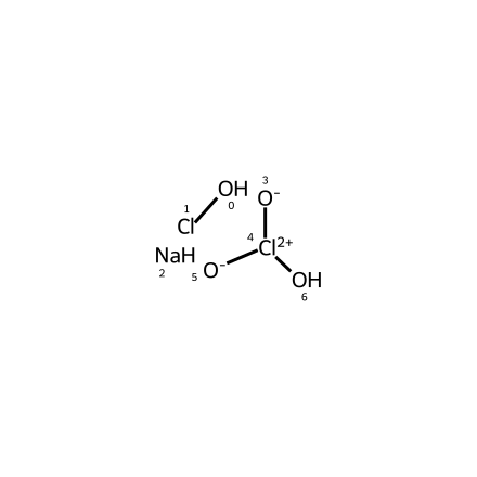 OCl.[NaH].[O-][Cl+2]([O-])O